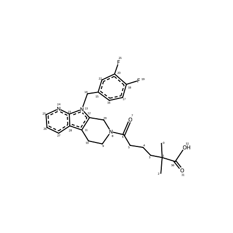 CC(C)(CCCC(=O)N1CCc2c(n(Cc3ccc(F)c(F)c3)c3ncccc23)C1)C(=O)O